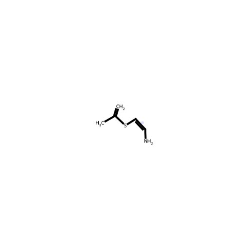 C=C(C)S/C=C\N